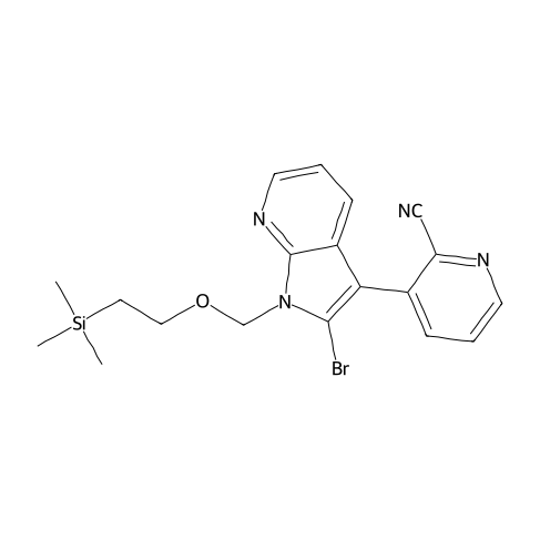 C[Si](C)(C)CCOCn1c(Br)c(-c2cccnc2C#N)c2cccnc21